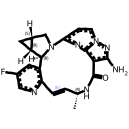 C[C@@H]1/C=C/c2ncc(F)cc2[C@H]2[C@@H]3C[C@@H]3CN2c2ccn3nc(N)c(c3n2)C(=O)N1